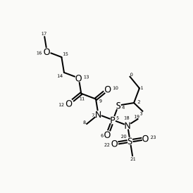 CCC(C)SP(=O)(N(C)C(=O)C(=O)OCCOC)N(C)S(C)(=O)=O